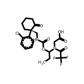 CCC(OC(=O)NC[C@@]1(c2ccccc2Cl)CCCCC1=O)N(CC(=O)O)C(=O)C(F)(F)F